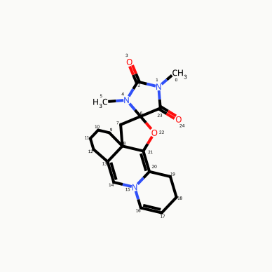 CN1C(=O)N(C)C2(CC34CCCCC3=CN3C=CCCC3=C4O2)C1=O